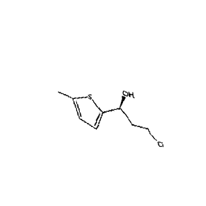 Cc1ccc([C@@H](O)CCCl)s1